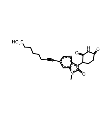 Cn1c(=O)n(C2CCC(=O)NC2=O)c2ccc(C#CCCCCCC(=O)O)cc21